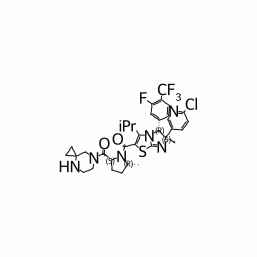 CC(C)C1=C(C(=O)N2[C@H](C)CC[C@H]2C(=O)N2CCNC3(CC3)C2)SC2=N[C@@](C)(c3ccc(Cl)nc3)[C@@H](c3ccc(C(F)(F)F)c(F)c3)N21